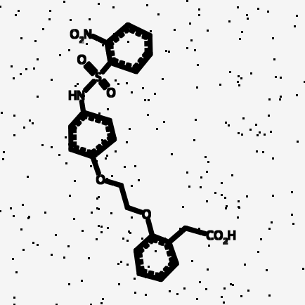 O=C(O)Cc1ccccc1OCCOc1ccc(NS(=O)(=O)c2ccccc2[N+](=O)[O-])cc1